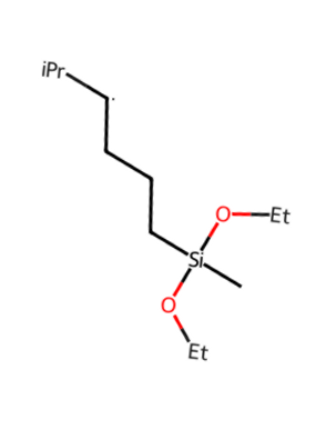 CCO[Si](C)(CCC[CH]C(C)C)OCC